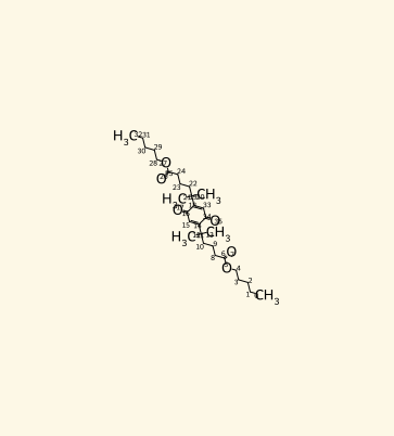 CCCCCOC(=O)CCCC(C)(C)C1=CC(=O)C(C(C)(C)CCCC(=O)OCCCCC)=CC1=O